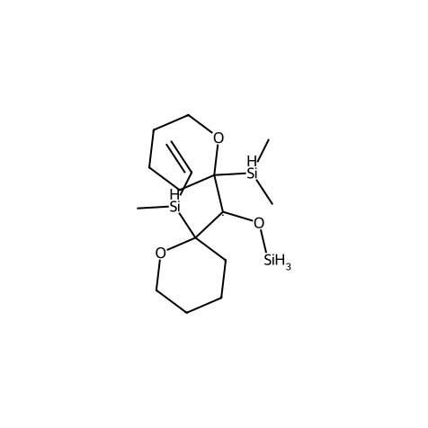 C=C[SiH](C)C1([C](O[SiH3])C2([SiH](C)C)CCCCO2)CCCCO1